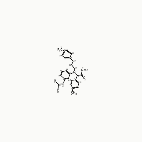 CNC(=O)[C@@H](c1ccc(C)cc1)N(CCCc1ccc(C(F)(F)F)cc1)c1cccc(OC(F)F)c1